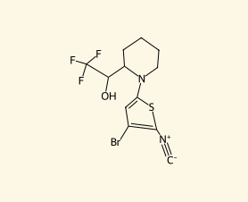 [C-]#[N+]c1sc(N2CCCCC2C(O)C(F)(F)F)cc1Br